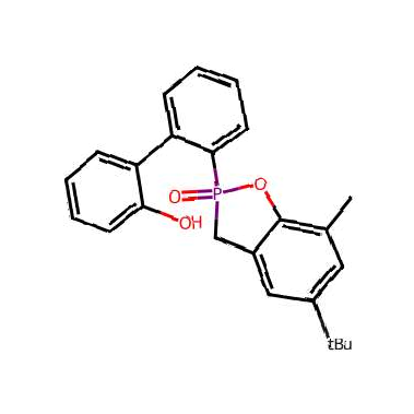 Cc1cc(C(C)(C)C)cc2c1OP(=O)(c1ccccc1-c1ccccc1O)C2